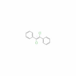 Cl/C(=C(/Cl)c1ccccc1)c1ccccc1